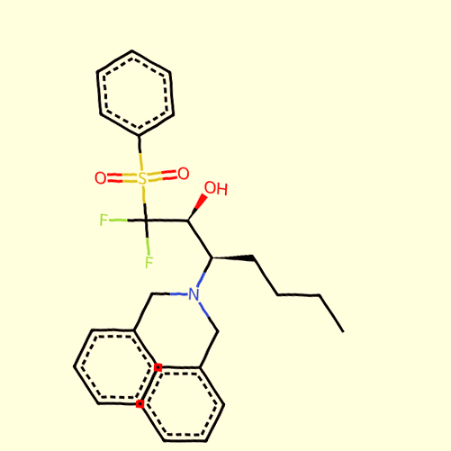 CCCC[C@H]([C@H](O)C(F)(F)S(=O)(=O)c1ccccc1)N(Cc1ccccc1)Cc1ccccc1